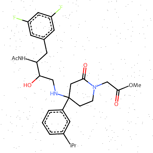 COC(=O)CN1CCC(NCC(O)C(Cc2cc(F)cc(F)c2)NC(C)=O)(c2cccc(C(C)C)c2)CC1=O